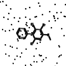 CSc1nc(Cl)c(-c2ccccc2)c(Cl)c1Br